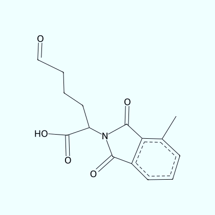 Cc1cccc2c1C(=O)N(C(CCCC=O)C(=O)O)C2=O